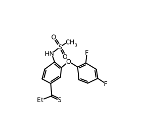 CCC(=S)c1ccc(NS(C)(=O)=O)c(Oc2ccc(F)cc2F)c1